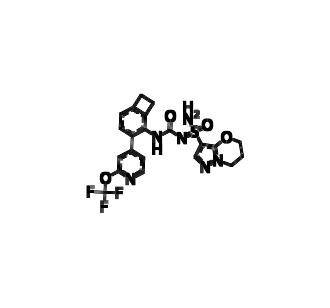 N[S@@](=O)(=NC(=O)Nc1c(-c2ccnc(OC(F)(F)F)c2)ccc2c1CC2)c1cnn2c1OCCC2